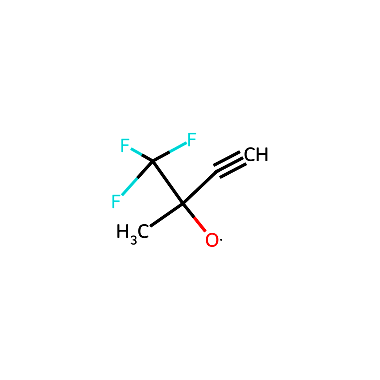 C#CC(C)([O])C(F)(F)F